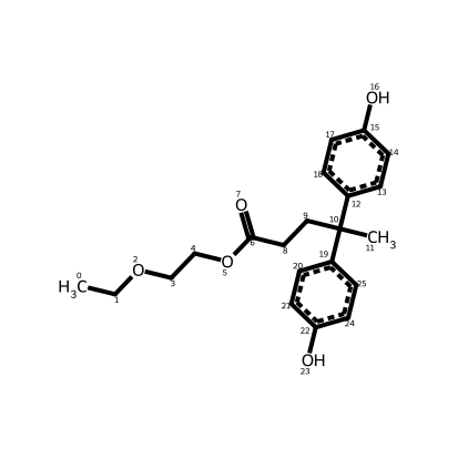 CCOCCOC(=O)CCC(C)(c1ccc(O)cc1)c1ccc(O)cc1